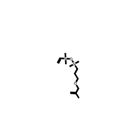 C=C[Si](C)(C)O[Si](C)(C)CCCOCC(=C)C